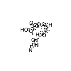 C#CCC[C@](C)(O[C@H]1O[C@]2(C=C[C@H]1OC(C)=O)O[C@H]([C@@H](CC)C(=O)[C@@H](C)[C@@H](O)[C@H](C)[C@@H]1O[C@@H](C(CC)C(=O)NCCCCNC(=O)/C(C#N)=C/c3ccc(N(C)C)cc3)CC[C@@H]1C)[C@@H](C)C[C@H]2C)[C@H]1CC[C@](O)(CC)[C@H](C)O1